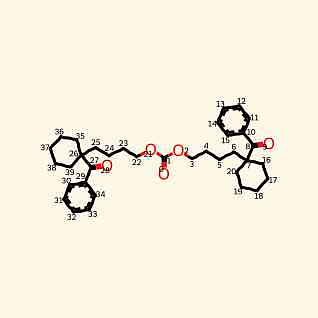 O=C(OCCCCC1(C(=O)c2ccccc2)CCCCC1)OCCCCC1(C(=O)c2ccccc2)CCCCC1